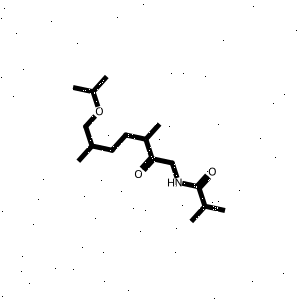 CC(CCC(C)C(=O)CNC(=O)C(C)C)COC(C)C